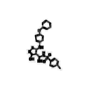 Cc1ccc(S(=O)(=O)NC(=N)c2c(O)nsc2Nc2ccc(Oc3ccccc3)cc2)cc1